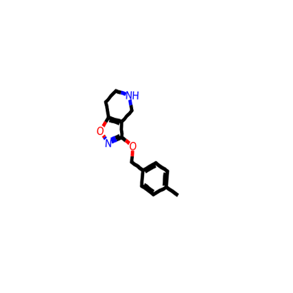 Cc1ccc(COc2noc3c2CNCC3)cc1